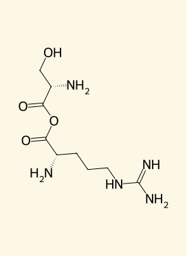 N=C(N)NCCC[C@H](N)C(=O)OC(=O)[C@@H](N)CO